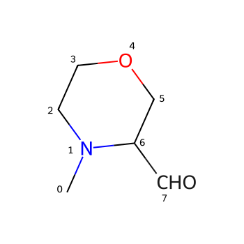 CN1CCOCC1C=O